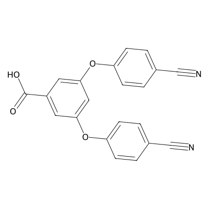 N#Cc1ccc(Oc2cc(Oc3ccc(C#N)cc3)cc(C(=O)O)c2)cc1